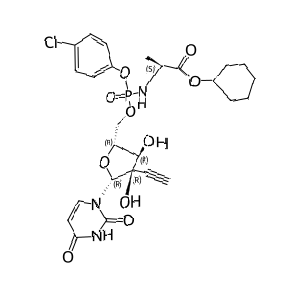 C#C[C@@]1(O)[C@H](O)[C@@H](COP(=O)(N[C@@H](C)C(=O)OC2CCCCC2)Oc2ccc(Cl)cc2)O[C@H]1n1ccc(=O)[nH]c1=O